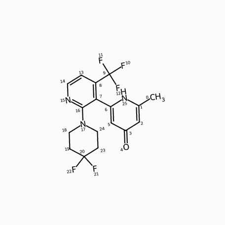 Cc1cc(=O)cc(-c2c(C(F)(F)F)ccnc2N2CCC(F)(F)CC2)[nH]1